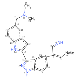 CN/C=C(\C=N)c1ccc2[nH]nc(-c3cc4cc(CN(C)C)ccc4[nH]3)c2c1